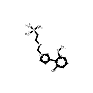 C[Si](C)(C)CCOCn1ccc(-c2c(Cl)cccc2OC(F)(F)F)c1